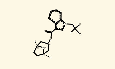 O=C(O[C@H]1C[C@H]2CC[C@@H](C1)N2)c1cn(CC(F)(F)F)c2ccccc12